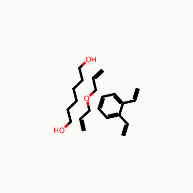 C=CCOCC=C.C=Cc1ccccc1C=C.OCCCCCCO